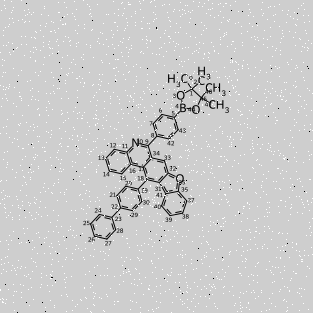 CC1(C)OB(c2ccc(-c3nc4ccccc4c4c(-c5ccc(-c6ccccc6)cc5)c5c(cc34)oc3ccccc35)cc2)OC1(C)C